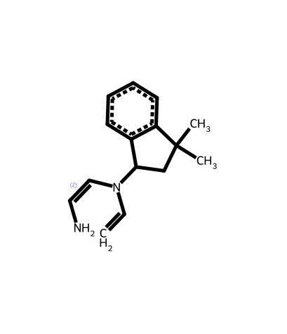 C=CN(/C=C\N)C1CC(C)(C)c2ccccc21